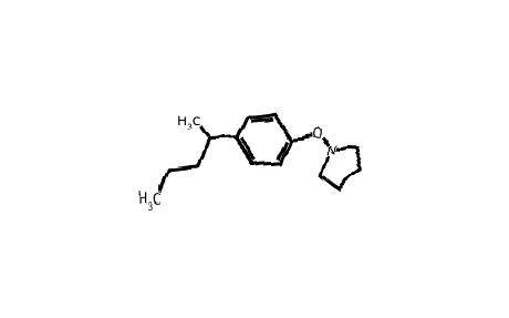 CCCC(C)c1ccc(ON2CCCC2)cc1